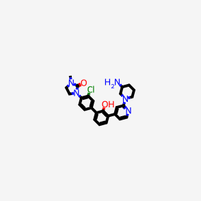 CN1CCN(c2ccc(-c3cccc(-c4ccnc(N5CCCC(N)C5)c4)c3O)cc2Cl)C1=O